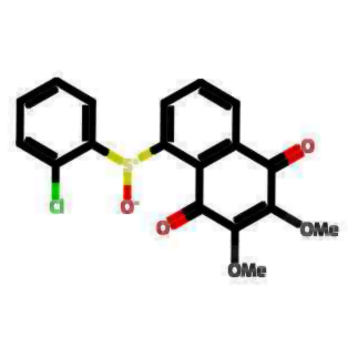 COC1=C(OC)C(=O)c2c(cccc2[S+]([O-])c2ccccc2Cl)C1=O